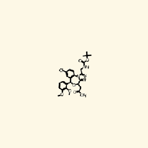 COc1cccc(C2OC(CC(=O)O)c3nnc(CNC(=O)OC(C)(C)C)n3-c3ccc(Cl)cc32)c1OC